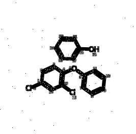 Clc1ccc(Oc2ccccc2)c(Cl)c1.Oc1ccccc1